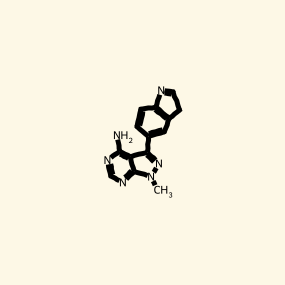 Cn1nc(-c2ccc3c(c2)CC=N3)c2c(N)ncnc21